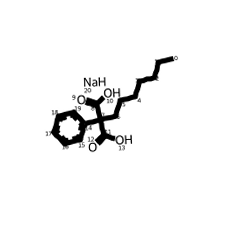 CCCCCCCC(C(=O)O)(C(=O)O)c1ccccc1.[NaH]